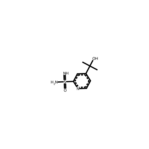 CC(C)(O)c1ccnc(S(=N)(N)=O)c1